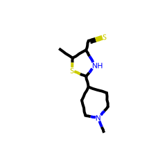 CC1SC(C2CCN(C)CC2)NC1C=S